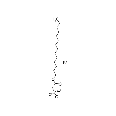 CCCCCCCCCCCCCCOC(=O)CS(=O)(=O)[O-].[K+]